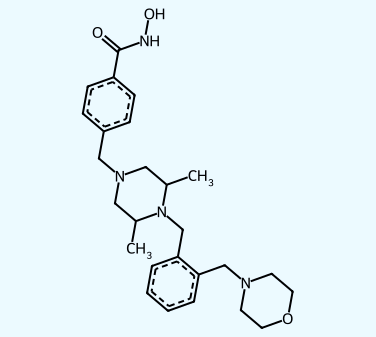 CC1CN(Cc2ccc(C(=O)NO)cc2)CC(C)N1Cc1ccccc1CN1CCOCC1